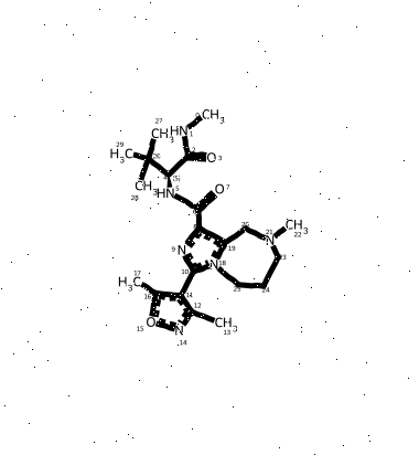 CNC(=O)[C@@H](NC(=O)c1nc(-c2c(C)noc2C)n2c1CN(C)CCC2)C(C)(C)C